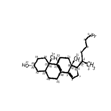 CC(C)CCC[C@@H](C)[C@H]1CC=C2C3=C(CC[C@@]21C)[C@@]1(C)CC[C@@H](O)CC1CC3